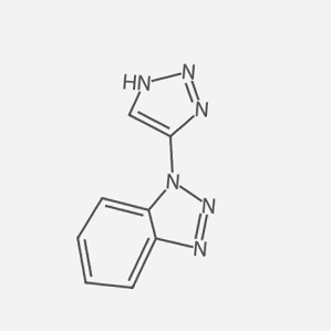 c1ccc2c(c1)nnn2-c1c[nH]nn1